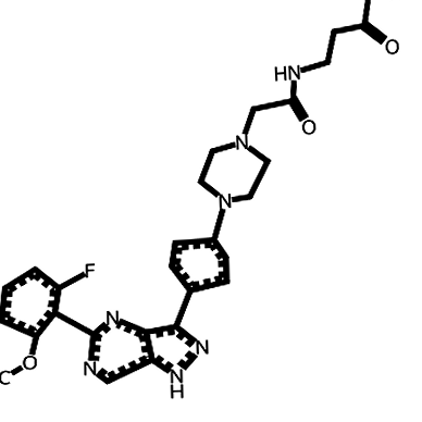 COc1cccc(F)c1-c1ncc2[nH]nc(-c3ccc(N4CCN(CC(=O)NCCC(N)=O)CC4)cc3)c2n1